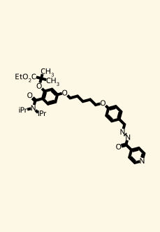 CCOC(=O)C(C)(C)Oc1cc(OCCCCCOc2ccc(CN=NC(=O)c3ccncc3)cc2)ccc1C(=O)N(C(C)C)C(C)C